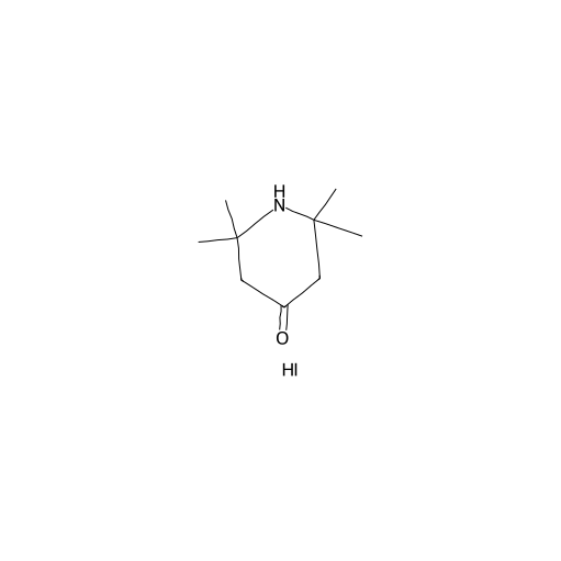 CC1(C)CC(=O)CC(C)(C)N1.I